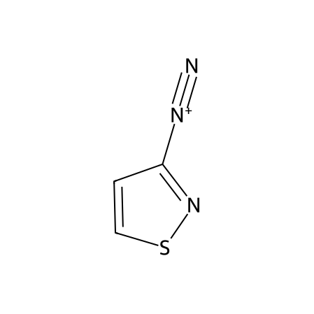 N#[N+]c1ccsn1